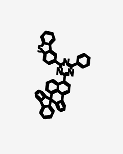 c1ccc(-c2nc(-c3ccc4sc5ccccc5c4c3)nc(-c3ccc4c5c(cccc35)C3(c5ccccc5-c5ccccc53)c3ccccc3-4)n2)cc1